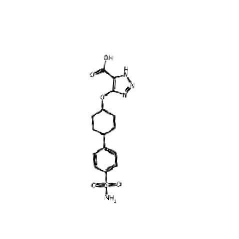 NS(=O)(=O)c1ccc(C2CCC(Oc3nn[nH]c3C(=O)O)CC2)cc1